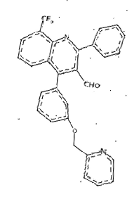 O=Cc1c(-c2ccccc2)nc2c(C(F)(F)F)cccc2c1-c1cccc(OCc2ccccn2)c1